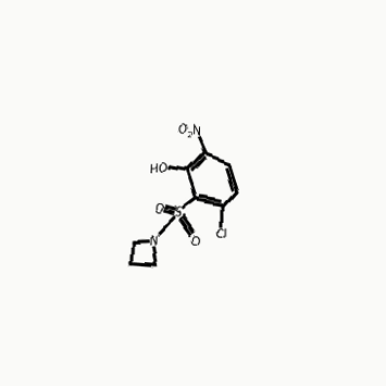 O=[N+]([O-])c1ccc(Cl)c(S(=O)(=O)N2CCC2)c1O